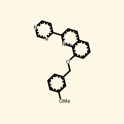 COc1cccc(COc2cccc3ccc(-c4ccncn4)nc23)c1